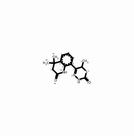 CC1SC(=O)NN=C1c1cccc2c1NC(=O)CC2(C)C